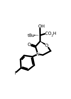 CC(C)(C)[C@](O)(C(=O)O)[C@H]1OCCN(c2ccc(I)cc2)C1=O